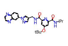 CC(C)NC(=O)c1cc(OC(C)(C)C)cc(C(=O)NCc2cnn(-c3ccc4nccnc4c3)c2)n1